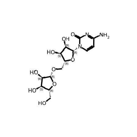 Nc1ccn([C@@H]2O[C@H](CO[C@@H]3O[C@H](CO)[C@@H](O)[C@H]3O)[C@@H](O)[C@H]2O)c(=O)n1